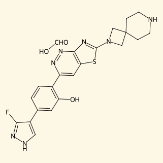 O=CO.Oc1cc(-c2c[nH]nc2F)ccc1-c1cc2sc(N3CC4(CCNCC4)C3)nc2nn1